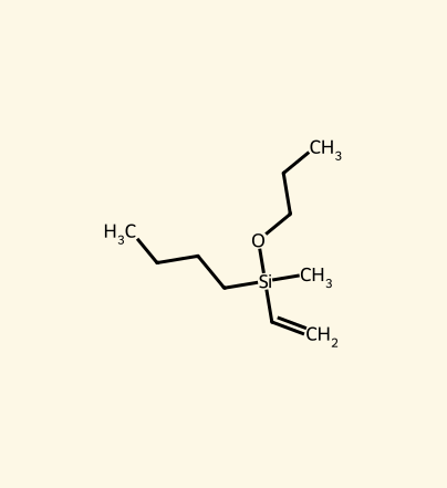 C=C[Si](C)(CCCC)OCCC